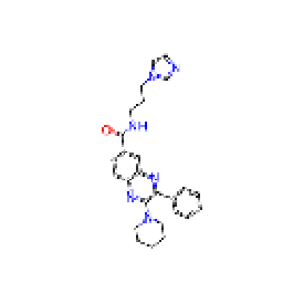 O=C(NCCCn1ccnc1)c1ccc2nc(N3CCCCC3)c(-c3ccccc3)nc2c1